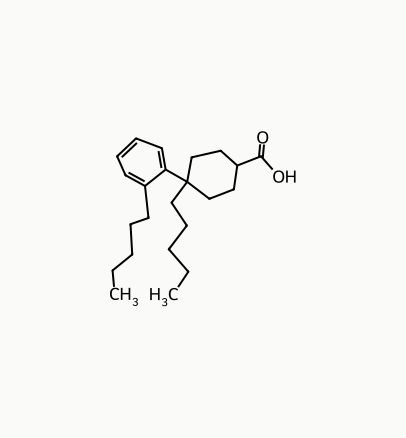 CCCCCc1ccccc1C1(CCCCC)CCC(C(=O)O)CC1